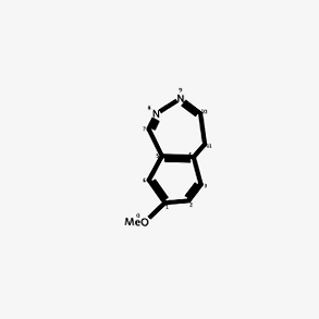 COc1ccc2c(c1)C=NN=CC2